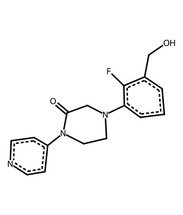 O=C1CN(c2cccc(CO)c2F)CCN1c1ccncc1